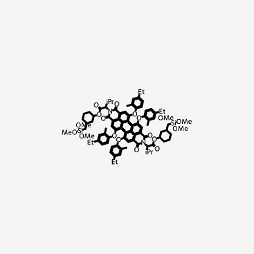 CCc1ccc(Oc2cc3c4c(cc(Oc5ccc(CC)cc5C)c5c6c(Oc7ccc(CC)cc7C)cc7c8c(cc(Oc9ccc(CC)cc9C)c(c2c45)c86)C(=O)N(C(C(=O)OC2CCCC(C[Si](OC)(OC)OC)C2)C(C)C)C7=O)C(=O)N(C(C(=O)OC2CCCC(C[Si](OC)(OC)OC)C2)C(C)C)C3=O)c(C)c1